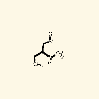 CC[C](C[S+]=O)NC